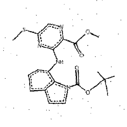 COC(=O)c1ncc(SC)nc1Nc1cccc2ccn(C(=O)OC(C)(C)C)c12